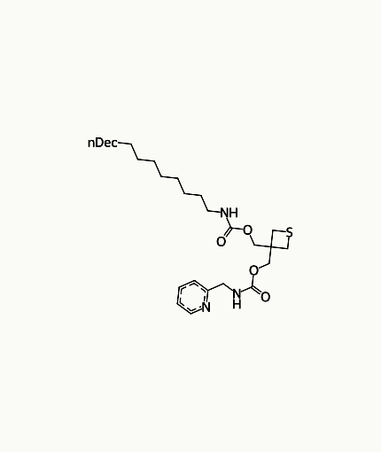 CCCCCCCCCCCCCCCCCCNC(=O)OCC1(COC(=O)NCc2ccccn2)CSC1